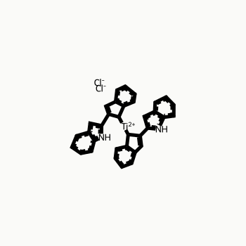 C1=C(c2cc3ccccc3[nH]2)[CH]([Ti+2][CH]2C(c3cc4ccccc4[nH]3)=Cc3ccccc32)c2ccccc21.[Cl-].[Cl-]